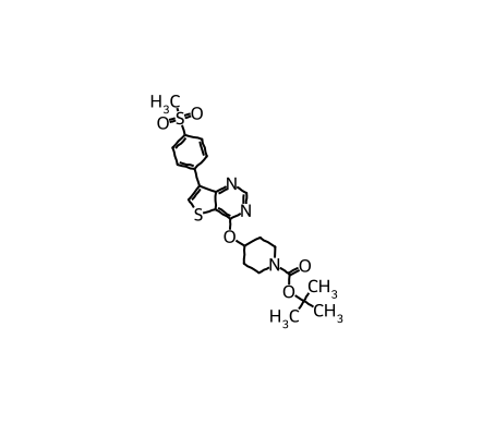 CC(C)(C)OC(=O)N1CCC(Oc2ncnc3c(-c4ccc(S(C)(=O)=O)cc4)csc23)CC1